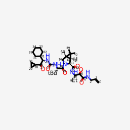 C=CCNC(=O)C(=O)C(CC)NC(=O)[C@@H]1[C@@H]2[C@H](CN1C(=O)[C@@H](NC(=O)N[C@H](C(=O)C1CC1)C1CCCCC1)C(C)(C)C)C2(C)C